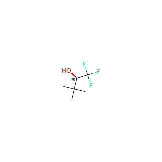 CC(C)(C)[C@@H](O)C(F)(F)F